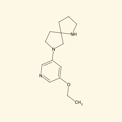 CCOc1cncc(N2CCC3(CCCN3)C2)c1